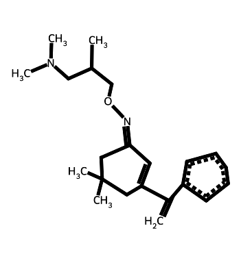 C=C(C1=C/C(=N/OCC(C)CN(C)C)CC(C)(C)C1)c1ccccc1